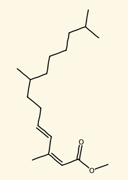 COC(=O)C=C(C)C=CCCC(C)CCCCC(C)C